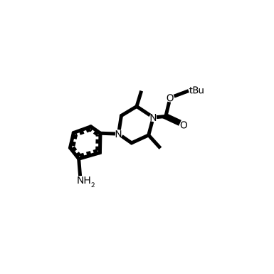 CC1CN(c2cccc(N)c2)CC(C)N1C(=O)OC(C)(C)C